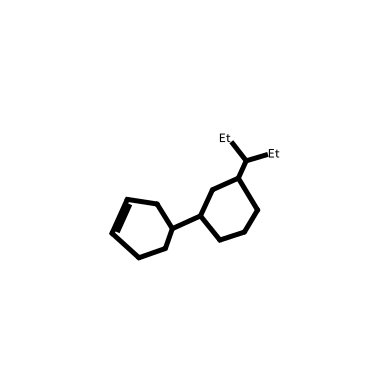 CCC(CC)C1CCCC(C2CC=CCC2)C1